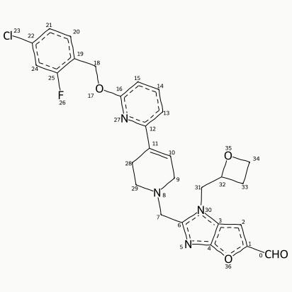 O=Cc1cc2c(nc(CN3CC=C(c4cccc(OCc5ccc(Cl)cc5F)n4)CC3)n2CC2CCO2)o1